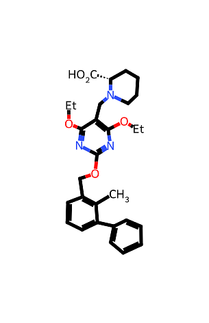 CCOc1nc(OCc2cccc(-c3ccccc3)c2C)nc(OCC)c1CN1CCCC[C@H]1C(=O)O